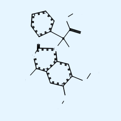 COC(=O)C(C)(c1ccccc1)n1c(=O)nc(C)c2cc(OC)c(OC)cc21